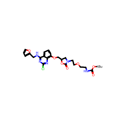 CC(C)(C)OC(=O)NCCOCCN1CC(COc2cccc3c(NCc4ccco4)nc(Cl)nc23)OC1=O